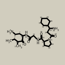 CCC(C)C(=O)C(CCN)NC(=O)CNC(=O)C1CCCN1C(=O)CC(N)C1CCCCC1